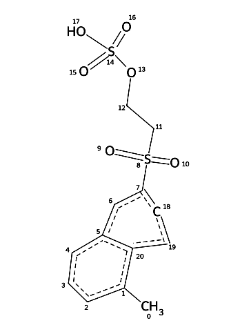 Cc1cccc2cc(S(=O)(=O)CCOS(=O)(=O)O)ccc12